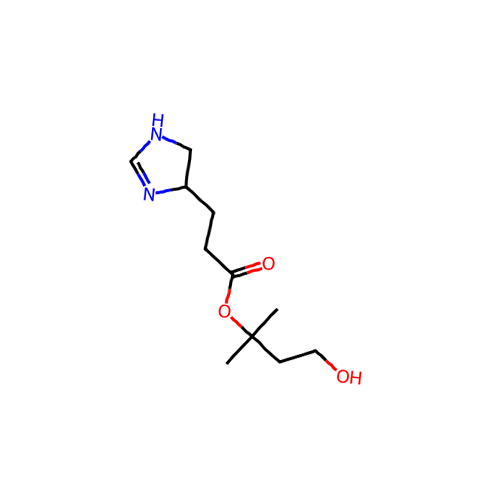 CC(C)(CCO)OC(=O)CCC1CNC=N1